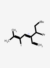 C=C/C(=C\C(I)=C(C)C)C(CC(C)(C)C)C(C)C